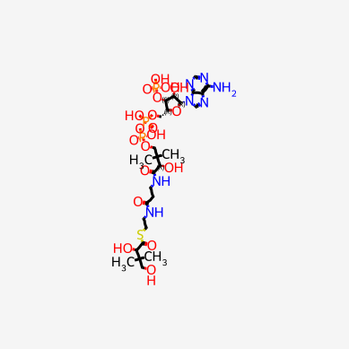 CC(C)(CO)C(O)C(=O)SCCNC(=O)CCNC(=O)[C@H](O)C(C)(C)COP(=O)(O)OP(=O)(O)OC[C@H]1O[C@@H](n2cnc3c(N)ncnc32)[C@H](O)[C@@H]1OP(=O)(O)O